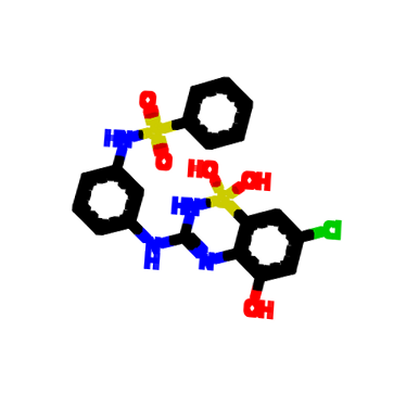 O=S(=O)(Nc1cccc(NC2=Nc3c(O)cc(Cl)cc3S(O)(O)N2)c1)c1ccccc1